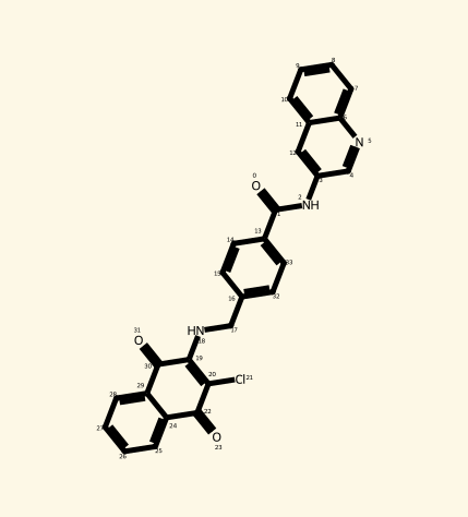 O=C(Nc1cnc2ccccc2c1)c1ccc(CNC2=C(Cl)C(=O)c3ccccc3C2=O)cc1